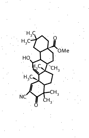 COC(=O)[C@]12CCC(C)(C)CC1C1C(O)C=C3[C@@]4(C)C=C(C#N)C(=O)C(C)(C)C4CC[C@@]3(C)[C@]1(C)CC2